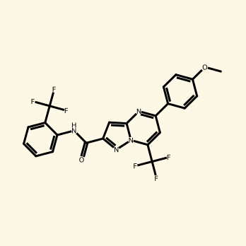 COc1ccc(-c2cc(C(F)(F)F)n3nc(C(=O)Nc4ccccc4C(F)(F)F)cc3n2)cc1